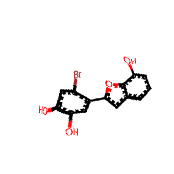 Oc1cc(Br)c(-c2cc3cccc(O)c3o2)cc1O